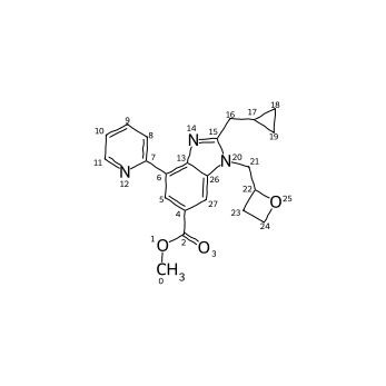 COC(=O)c1cc(-c2ccccn2)c2nc(CC3CC3)n(CC3CCO3)c2c1